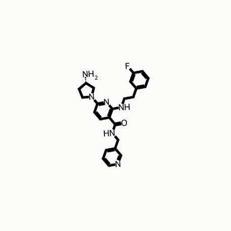 N[C@H]1CCN(c2ccc(C(=O)NCc3cccnc3)c(NCCc3cccc(F)c3)n2)C1